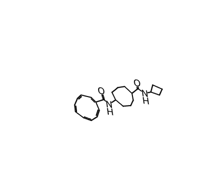 O=C(NC1CCCC(C(=O)NC2CCC2)CCC1)c1ccccccccc1